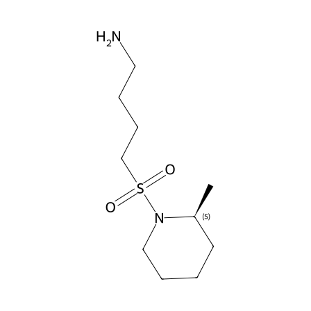 C[C@H]1CCCCN1S(=O)(=O)CCCCN